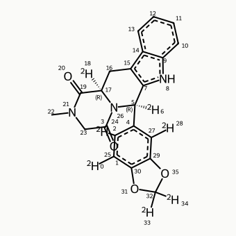 [2H]c1c([2H])c([C@]2([2H])c3[nH]c4ccccc4c3C[C@]3([2H])C(=O)N(C)CC(=O)N23)c([2H])c2c1OC([2H])([2H])O2